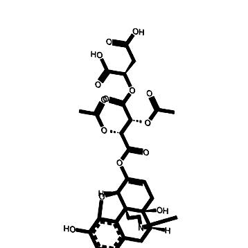 CC(=O)O[C@@H](C(=O)OC1=CC[C@]2(O)[C@@H]3Cc4ccc(O)c5c4[C@]2(CCN3C)[C@@H]1O5)[C@@H](OC(C)=O)C(=O)O[C@H](CC(=O)O)C(=O)O